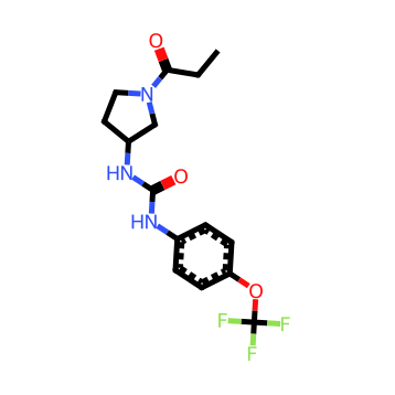 CCC(=O)N1CCC(NC(=O)Nc2ccc(OC(F)(F)F)cc2)C1